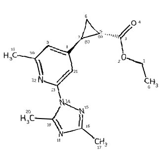 CCOC(=O)[C@H]1C[C@@H]1c1cc(C)nc(-n2nc(C)nc2C)c1